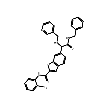 Nc1ccccc1NC(=O)c1cc2ccc(C(NCc3cccnc3)C(=O)NCc3ccccc3)cc2s1